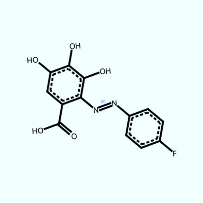 O=C(O)c1cc(O)c(O)c(O)c1/N=N/c1ccc(F)cc1